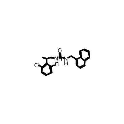 CC(CNC(=O)NCc1cccc2ccccc12)c1c(Cl)cccc1Cl